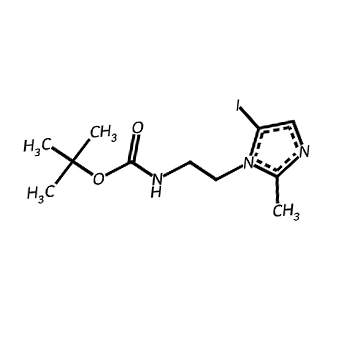 Cc1ncc(I)n1CCNC(=O)OC(C)(C)C